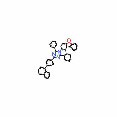 c1ccc(-c2nc(-c3ccc(-c4cccc5ccccc45)cc3)nc(-c3ccccc3-c3cccc4oc5ccccc5c34)n2)cc1